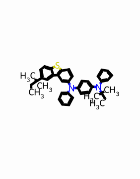 CCC(C)(C)c1ccc2sc3ccc(N(c4ccccc4)c4ccc(N(c5ccccc5)C(C)(C)CC)cc4)cc3c2c1